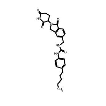 CCCCCc1ccc(NC(=O)NCc2ccc3c(c2)CN(C2CCC(=O)NC2=O)C3=O)cc1